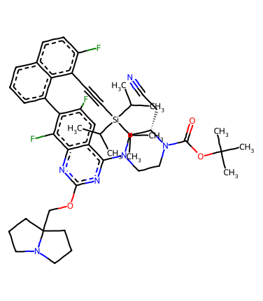 CC(C)[Si](C#Cc1c(F)ccc2cccc(-c3c(F)cc4c(N5CCN(C(=O)OC(C)(C)C)[C@@H](CC#N)C5)nc(OCC56CCCN5CCC6)nc4c3F)c12)(C(C)C)C(C)C